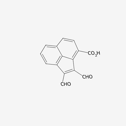 O=CC1=C(C=O)c2c(C(=O)O)ccc3cccc1c23